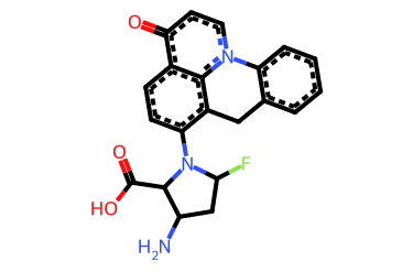 NC1CC(F)N(c2ccc3c(=O)ccn4c3c2Cc2ccccc2-4)C1C(=O)O